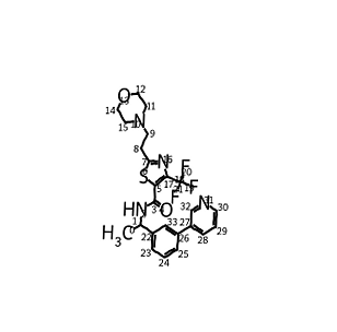 CC(NC(=O)c1sc(CCN2CCOCC2)nc1C(F)(F)F)c1cccc(-c2cccnc2)c1